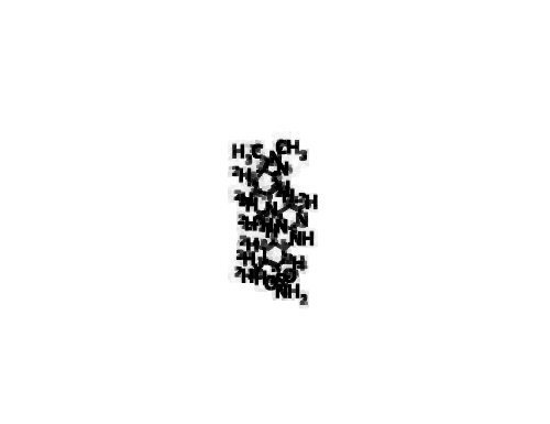 [2H]c1nc(Nc2c([2H])c([2H])c(C([2H])([2H])[2H])c(S(N)(=O)=O)c2[2H])nc(N(c2c([2H])c([2H])c3c(C)n(C)nc3c2[2H])C([2H])([2H])[2H])c1[2H]